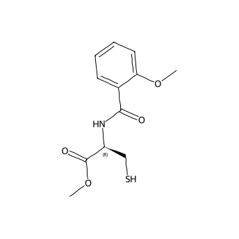 COC(=O)[C@H](CS)NC(=O)c1ccccc1OC